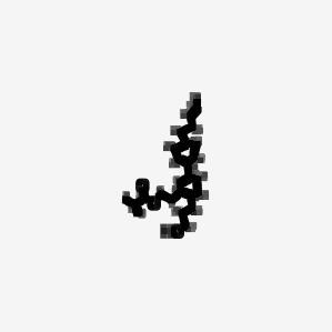 C=C(C)C(=O)OCCc1cc(-c2ccc(CC/C=C/C)cc2)ccc1CCCO